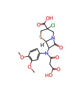 COc1ccc(N(C(=O)CC(=O)O)C2C(=O)N3CC(Cl)(C(=O)O)CS[C@H]23)cc1OC